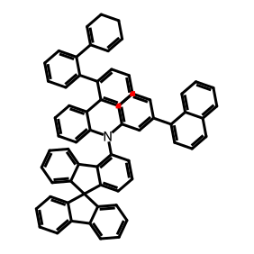 C1=CC(c2ccccc2-c2ccccc2-c2ccccc2N(c2cccc(-c3cccc4ccccc34)c2)c2cccc3c2-c2ccccc2C32c3ccccc3-c3ccccc32)=CCC1